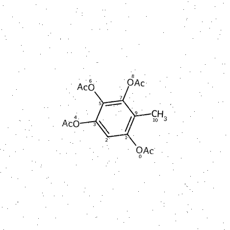 CC(=O)Oc1cc(OC(C)=O)c(OC(C)=O)c(OC(C)=O)c1C